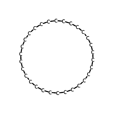 C1CCCCCCCCCCCCCCCCCCCCCCCCCCCCC1